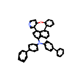 c1ccc(-c2ccc(N(c3ccc(-c4ccccc4)cc3)c3ccc4c5c(cccc35)-c3ccccc3Oc3ccncc3-4)cc2)cc1